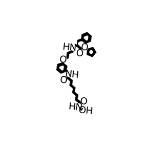 O=C(CCCCCCC(=O)Nc1cccc(OCCCN[C@@H](Cc2ccccc2)C(=O)OC2CCCC2)c1)NO